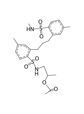 CNS(=O)(=O)c1ccc(C)cc1CCCc1cc(C)ccc1S(=O)(=O)NCC(C)OC(C)=O